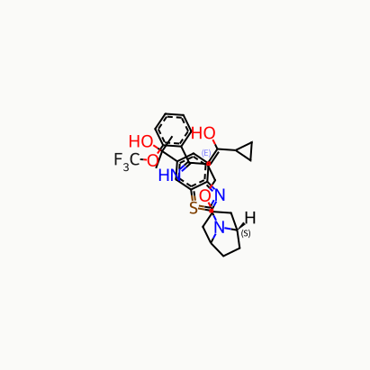 CC(C)(O)c1ccc2nc(N3C4CC[C@H]3CC(OC/C(C(=N)c3ccccc3OC(F)(F)F)=C(/O)C3CC3)C4)sc2c1